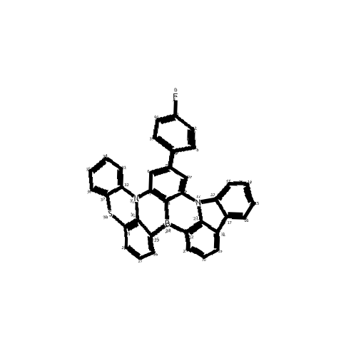 Fc1ccc(-c2cc3c4c(c2)-n2c5ccccc5c5cccc(c52)B4c2cccc4c2N3c2ccccc2S4)cc1